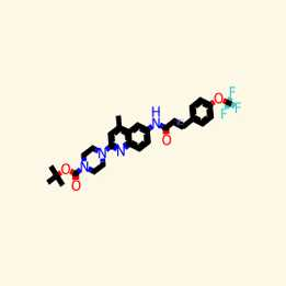 Cc1cc(N2CCN(C(=O)OC(C)(C)C)CC2)nc2ccc(NC(=O)/C=C/c3ccc(OC(F)(F)F)cc3)cc12